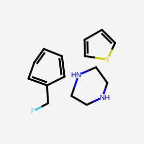 C1CNCCN1.FCc1ccccc1.c1ccsc1